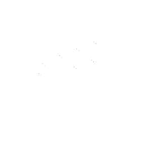 Cc1nc(Nc2cc(-c3ccc4c(c3)OCO4)[nH]n2)nc(NC(C)c2ccc(F)cc2F)n1